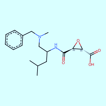 CC(C)CC(CN(C)Cc1ccccc1)NC(=O)[C@H]1O[C@@H]1C(=O)O